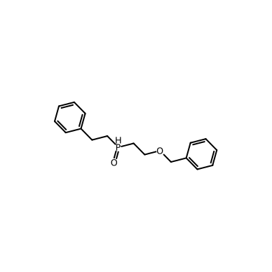 O=[PH](CCOCc1ccccc1)CCc1ccccc1